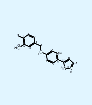 Cc1ccc(COc2ccc(-c3ccn[nH]3)nc2)cc1O